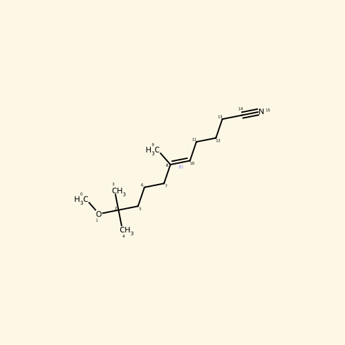 COC(C)(C)CCC/C(C)=C/CCCC#N